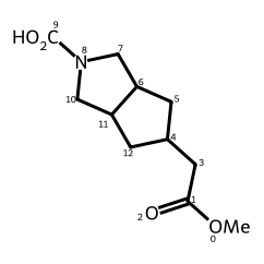 COC(=O)CC1CC2CN(C(=O)O)CC2C1